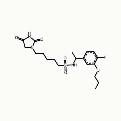 CCCOc1cc(C(C)NS(=O)(=O)CCCCCN2CC(=O)NC2=O)ccc1F